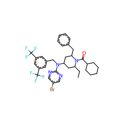 CCC1CC(N(Cc2cc(C(F)(F)F)cc(C(F)(F)F)c2)c2ncc(Br)cn2)CC(Cc2ccccc2)N1C(=O)C1CCCCC1